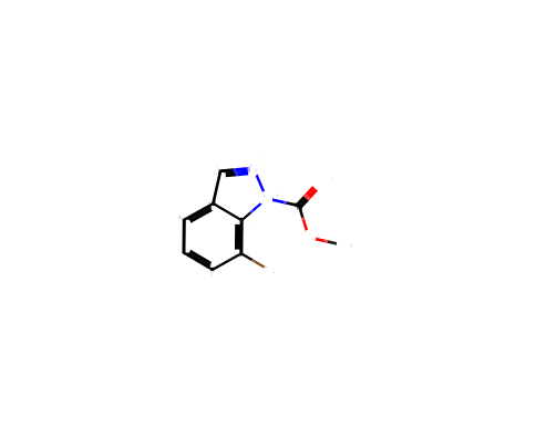 CC(C)(C)OC(=O)n1ncc2cccc(Br)c21